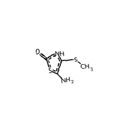 CSc1[nH]c(=O)sc1N